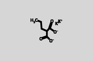 CCCC(C(=O)[O-])C(=O)[O-].[K+].[K+]